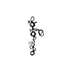 Cc1cc(-c2nc3ccc(OCCNCC(=O)OC4CCCC4)cc3n2CC2CCOCC2)cn(C)c1=O